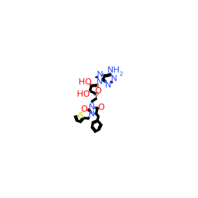 Nc1ncnc2c1ncn2[C@@H]1O[C@H](CCN2C(=O)C(Cc3ccccc3)N(Cc3cccs3)C2=O)C(O)[C@H]1O